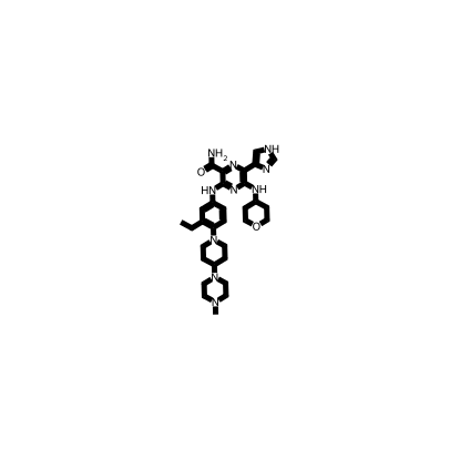 CCc1cc(Nc2nc(NC3CCOCC3)c(-c3c[nH]cn3)nc2C(N)=O)ccc1N1CCC(N2CCN(C)CC2)CC1